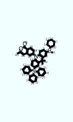 CB(c1ccc2c(c1)C(C)(C)c1cc([Si](c3ccccc3)(c3ccccc3)c3ccccc3)ccc1N2c1ccc2c(=O)oc(C)cc2c1)C1CCCCC1